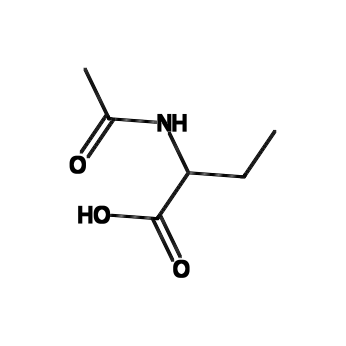 CCC(NC(C)=O)C(=O)O